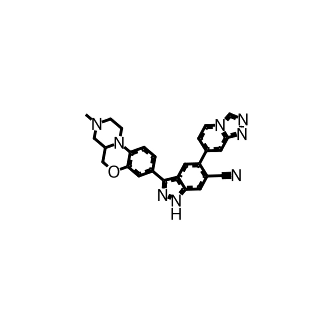 CN1CCN2c3ccc(-c4n[nH]c5cc(C#N)c(-c6ccn7cnnc7c6)cc45)cc3OCC2C1